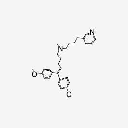 COc1ccc(C(=CCCCN(C)CCCCc2cccnc2)c2ccc(OC)cc2)cc1